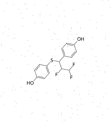 Oc1ccc(SC(c2ccc(O)cc2)C(F)C(F)F)cc1